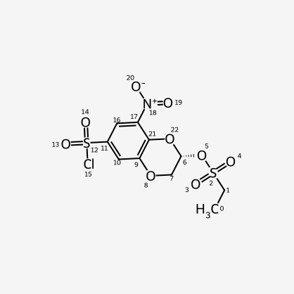 CCS(=O)(=O)O[C@@H]1COc2cc(S(=O)(=O)Cl)cc([N+](=O)[O-])c2O1